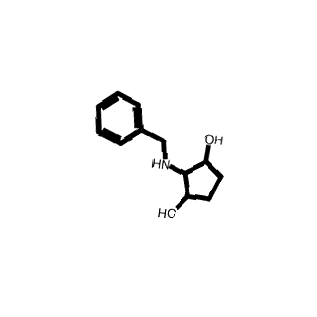 OC1CCC(O)C1NCc1ccccc1